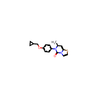 CC1C=C2SC=CN2C(=O)N1c1ccc(OCC2CC2)cc1